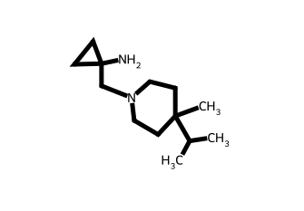 CC(C)C1(C)CCN(CC2(N)CC2)CC1